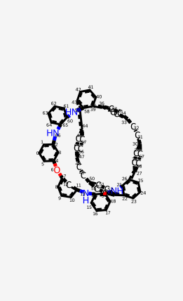 c1cc2cc(c1)oc1cccc(c1)[nH]c1ccccc1[nH]c1c3cccc1c1ccc(ccc4ccc(cc4)c4cccc(c5ccc(ccc6ccc3cc6)cc5)c4[nH]c3ccccc3[nH]2)cc1